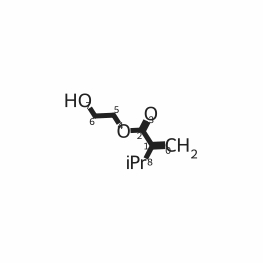 C=C(C(=O)OCCO)C(C)C